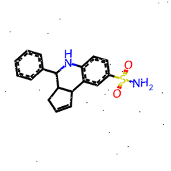 NS(=O)(=O)c1ccc2c(c1)C1C=CCC1C(c1ccccc1)N2